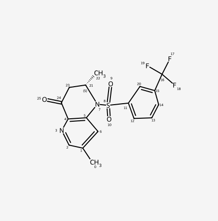 Cc1cnc2c(c1)N(S(=O)(=O)c1cccc(C(F)(F)F)c1)[C@@H](C)CC2=O